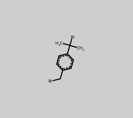 CC(C)(Br)c1ccc(CBr)cc1